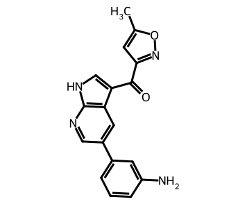 Cc1cc(C(=O)c2c[nH]c3ncc(-c4cccc(N)c4)cc23)no1